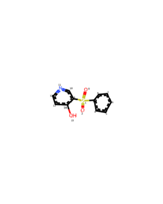 O=S(=O)(c1ccccc1)c1cnccc1O